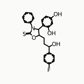 Oc1ccc(C2C(CCC(O)c3ccc(F)cc3)OC(=S)N2c2ccccc2)c(O)c1